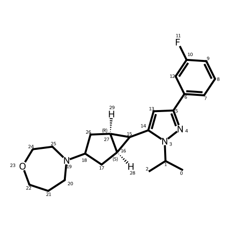 CC(C)n1nc(-c2cccc(F)c2)cc1C1[C@H]2CC(N3CCCOCC3)C[C@@H]12